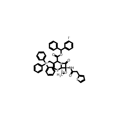 CO[C@@]1(NC(=O)Cc2cccs2)C(=O)N2C(C(=O)OC(c3ccccc3)c3ccccc3)C(C[P+](c3ccccc3)(c3ccccc3)c3ccccc3)=CS[C@@H]21.[I-]